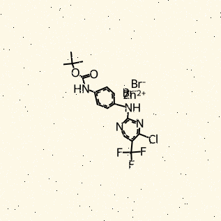 CC(C)(C)OC(=O)Nc1ccc(Nc2ncc(C(F)(F)F)c(Cl)n2)cc1.[Br-].[Br-].[Zn+2]